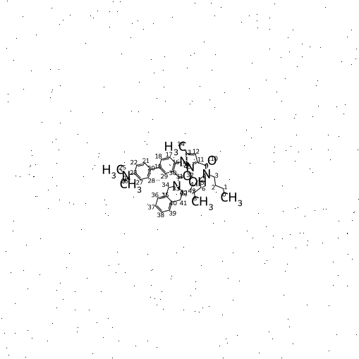 CCCCN(CCCC)C(=O)c1cc(C)n(-c2ccc(-c3ccc(N(C)C)cc3)cc2C(=O)N2Cc3ccccc3C[C@H]2CO)n1